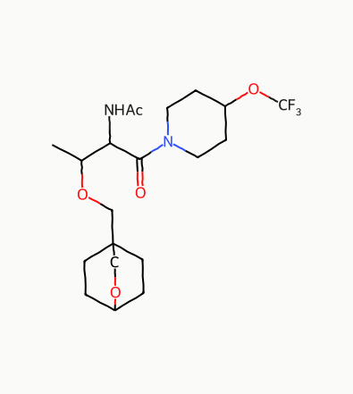 CC(=O)NC(C(=O)N1CCC(OC(F)(F)F)CC1)C(C)OCC12CCC(CC1)OC2